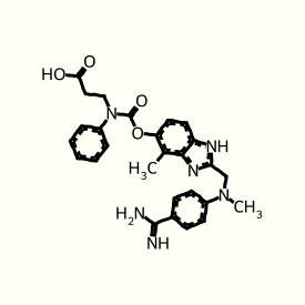 Cc1c(OC(=O)N(CCC(=O)O)c2ccccc2)ccc2[nH]c(CN(C)c3ccc(C(=N)N)cc3)nc12